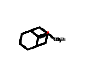 CCOC(=O)C=C1C2CCCC1CCC2